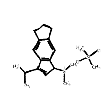 CC(C)C1=CC([SiH](C)C)c2cc3c(cc21)CCC3.C[Si](C)(Cl)Cl